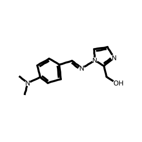 CN(C)c1ccc(C=Nn2ccnc2CO)cc1